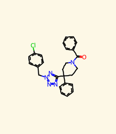 O=C(c1ccccc1)N1CCC(c2ccccc2)(c2nnn(Cc3ccc(Cl)cc3)n2)CC1